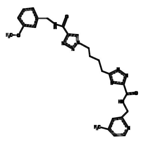 O=C(NCc1cccc(OC(F)(F)F)c1)c1cn(CCCCc2nnc(C(=O)NCc3cc(C(F)(F)F)ccn3)s2)nn1